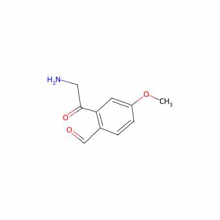 COc1ccc(C=O)c(C(=O)CN)c1